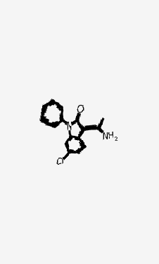 CC(N)=C1C(=O)N(c2ccccc2)c2cc(Cl)ccc21